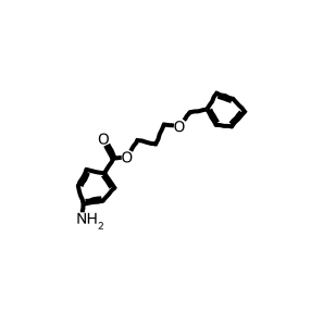 Nc1ccc(C(=O)OCCCOCc2ccccc2)cc1